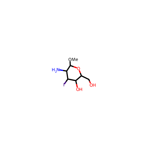 COC1OC(CO)C(O)C(I)C1N